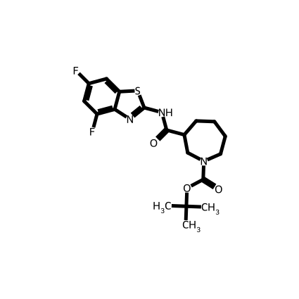 CC(C)(C)OC(=O)N1CCCCC(C(=O)Nc2nc3c(F)cc(F)cc3s2)C1